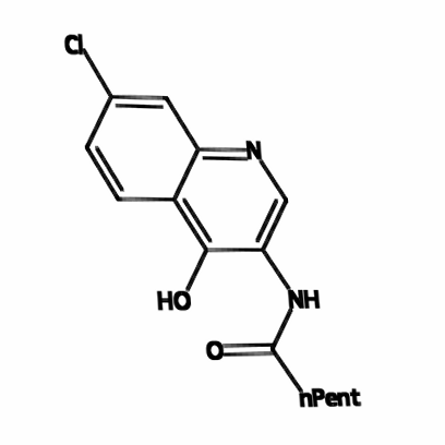 CCCCCC(=O)Nc1cnc2cc(Cl)ccc2c1O